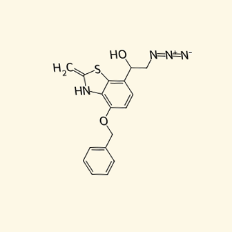 C=C1Nc2c(OCc3ccccc3)ccc(C(O)CN=[N+]=[N-])c2S1